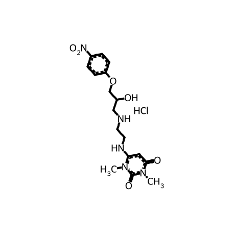 Cl.Cn1c(NCCNCC(O)COc2ccc([N+](=O)[O-])cc2)cc(=O)n(C)c1=O